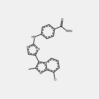 CNC(=O)c1ccc(Nc2nc(-c3c(C)nc4c(Cl)cccn34)cs2)cc1